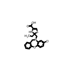 CCC1(CN2Cc3ccccc3Oc3ccc(Cl)cc32)NC(C(=O)O)=CS1